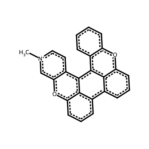 C[n+]1ccc2c(c1)oc1cccc3c4cccc5oc6ccccc6c(c54)c2c13